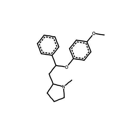 COc1ccc(OC(CC2CCCN2C)c2ccccc2)cc1